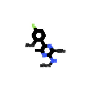 CCCCCNc1nc(C)c(-c2ccc(F)cc2OC)nc1SC